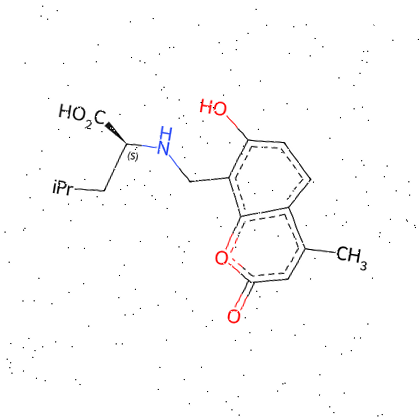 Cc1cc(=O)oc2c(CN[C@@H](CC(C)C)C(=O)O)c(O)ccc12